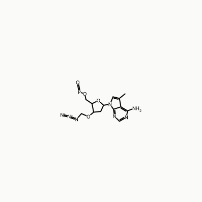 Cc1cn(C2CC(OCN=[N+]=[N-])C(COP=O)O2)c2ncnc(N)c12